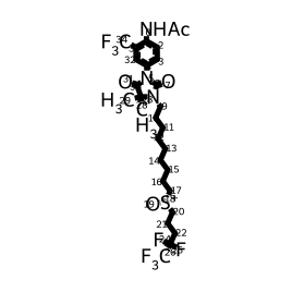 CC(=O)Nc1ccc(N2C(=O)N(CCCCCCCCC[S+]([O-])CCCC(F)(F)C(F)(F)F)C(C)(C)C2=O)cc1C(F)(F)F